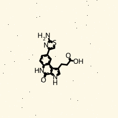 Nc1nc(-c2ccc3[nH]c(=O)c4[nH]cc(CCC(=O)O)c4c3c2)cs1